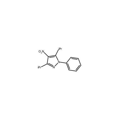 CC(C)c1nn(-c2ccccc2)c(C(C)C)c1[N+](=O)[O-]